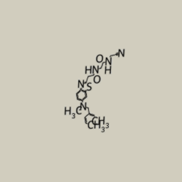 C/C=C\C(=C/C)CN(C)c1ccc2nc(CC(=O)NCC(=O)NCC#N)sc2c1